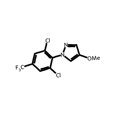 COc1cnn(-c2c(Cl)cc(C(F)(F)F)cc2Cl)c1